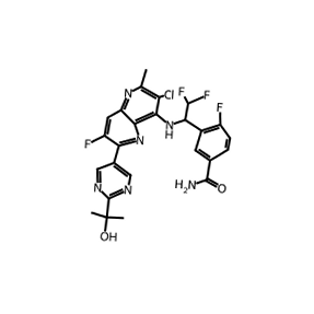 Cc1nc2cc(F)c(-c3cnc(C(C)(C)O)nc3)nc2c(NC(c2cc(C(N)=O)ccc2F)C(F)F)c1Cl